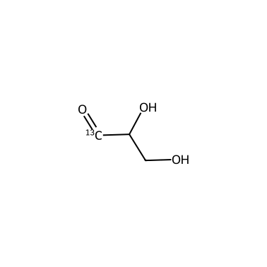 O=[13CH]C(O)CO